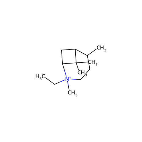 CC[N+]1(C)CCC(C)C2CC1C2(C)C